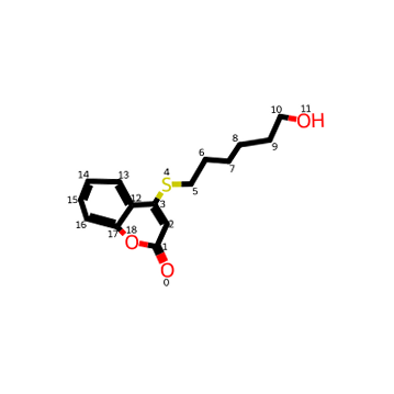 O=c1cc(SCCCCCCO)c2ccccc2o1